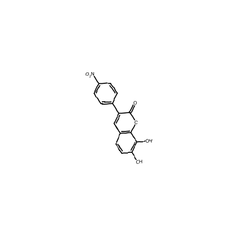 O=c1oc2c(O)c(O)ccc2cc1-c1ccc([N+](=O)[O-])cc1